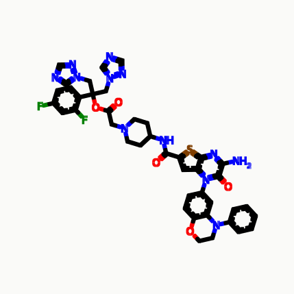 Nc1nc2sc(C(=O)NC3CCN(CC(=O)OC(Cn4cncn4)(Cn4cncn4)c4ccc(F)cc4F)CC3)cc2n(-c2ccc3c(c2)N(c2ccccc2)CCO3)c1=O